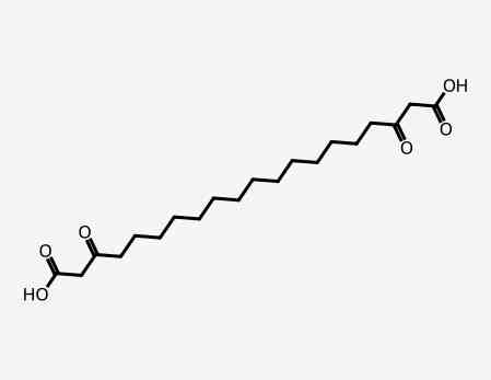 O=C(O)CC(=O)CCCCCCCCCCCCCCC(=O)CC(=O)O